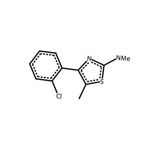 CNc1nc(-c2ccccc2Cl)c(C)s1